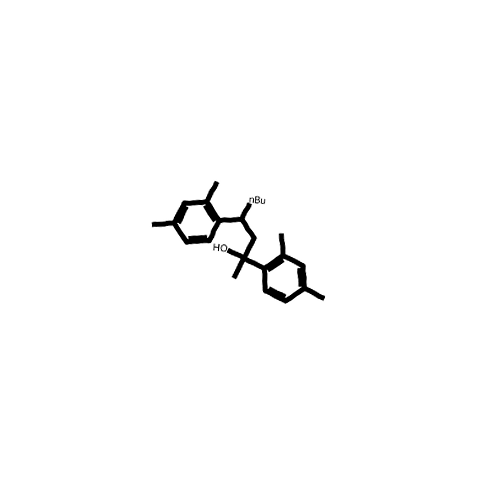 CCCC[C](CC(C)(O)c1ccc(C)cc1C)c1ccc(C)cc1C